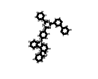 c1ccc(-c2cccc(-c3nc(-c4ccccc4)nc(-c4ccc(-n5c6ccccc6c6c7c(ccc65)oc5ccccc57)cc4)n3)c2)cc1